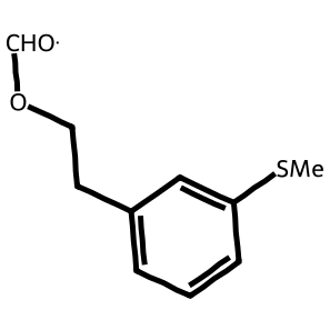 CSc1cccc(CCO[C]=O)c1